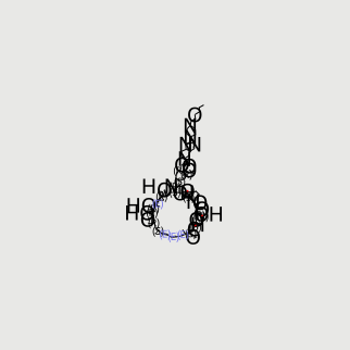 CCCOCCN1CCN(c2ncc3c(n2)CCN(C(=O)O[C@@H]2CC[C@@H](C[C@@H](N)[C@@H]4CC(=O)[C@H](C)/C=C(\C)[C@@H](O)[C@@H](O)C(=O)[C@H](C)C[C@H](C)/C=C/C=C/C=C(\C)[C@@H](OC)C[C@@H]5CC[C@@H](C)[C@@](O)(O5)C(=O)C(=O)N5CCCC[C@H]5C(=O)O4)C[C@H]2OC)C3)CC1